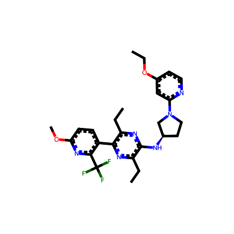 CCOc1ccnc(N2CC[C@@H](Nc3nc(CC)c(-c4ccc(OC)nc4C(F)(F)F)nc3CC)C2)c1